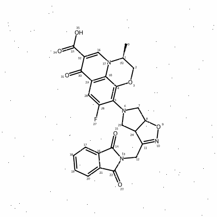 C[C@H]1COc2c(N3CC4ON=C(CN5C(=O)c6ccccc6C5=O)C4C3)c(F)cc3c(=O)c(C(=O)O)cn1c23